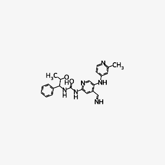 Cc1cc(Nc2cnc(NC(=O)NC(c3ccccc3)C(C)O)cc2C=N)ccn1